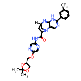 CC1(C)OC[C@H](COc2cnc(NC(=O)C3C[C@H]4CN3C3=CN=C(c5cccc(C(F)(F)F)c5)NC3=N4)cn2)O1